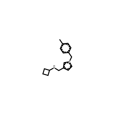 Cc1ccc(Cn2ccc(CNC3CCC3)c2)cc1